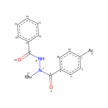 CC(=O)c1ccc(C(=O)N(NC(=O)c2ccccc2)C(C)(C)C)cc1